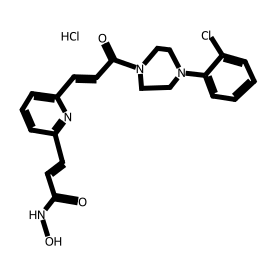 Cl.O=C(C=Cc1cccc(C=CC(=O)N2CCN(c3ccccc3Cl)CC2)n1)NO